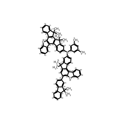 Cc1cc(C)cc(N(c2ccc3c(c2)C(C)(C)c2cc(-c4ccc5c(c4)C(C)(C)c4ccccc4-5)c4oc5ccccc5c4c2-3)c2ccc3c(c2)C(C)(C)c2c4c(c5oc6ccccc6c5c2-3)-c2ccccc2C4(C)C)c1